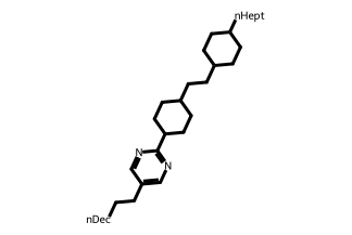 CCCCCCCCCCCCc1cnc(C2CCC(CCC3CCC(CCCCCCC)CC3)CC2)nc1